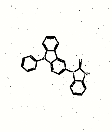 O=c1[nH]c2ccccc2n1-c1ccc2c(c1)c1ccccc1n2-c1ccccc1